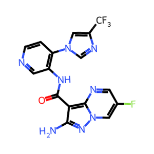 Nc1nn2cc(F)cnc2c1C(=O)Nc1cnccc1-n1cnc(C(F)(F)F)c1